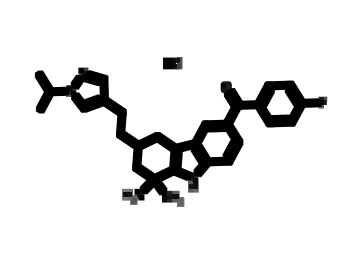 CC(C)n1cc(CCC2Cc3c([nH]c4ccc(C(=O)c5ccc(F)cc5)cc34)C(N)(N)C2)cn1.Cl